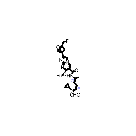 CCC(C)Oc1nc2nc(C34COC(CF)(C3)C4)cn2cc1C(=O)N/C(C)=C/C=C\N(C=O)C1CC1